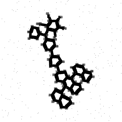 Fc1c(F)c(F)c(N(c2ccccc2)c2ccc(-c3ccc(-c4ccc5c(-c6cccc7ccccc67)c6ccccc6c(-c6cccc7ccccc67)c5c4)cc3)cc2)c(F)c1F